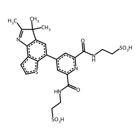 CC1=Nc2c(cc(-c3cc(C(=O)NCCS(=O)(=O)O)nc(C(=O)NCCS(=O)(=O)O)c3)c3sccc23)C1(C)C